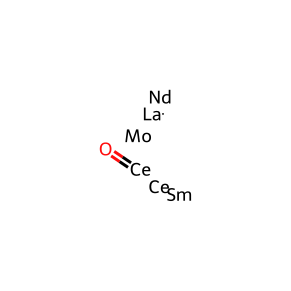 [Ce].[La].[Mo].[Nd].[O]=[Ce].[Sm]